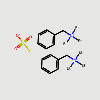 CC[N+](CC)(CC)Cc1ccccc1.CC[N+](CC)(CC)Cc1ccccc1.O=S(=O)([O-])[S-]